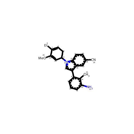 CCC1=CCC(n2cc(-c3cccc(N)c3C)c3cc(C#N)ccc32)C=C1OC